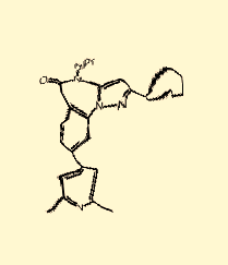 CCCn1c(=O)c2ccc(-c3cc(C)nc(C)c3)cc2n2nc(C3CCCC3)cc12